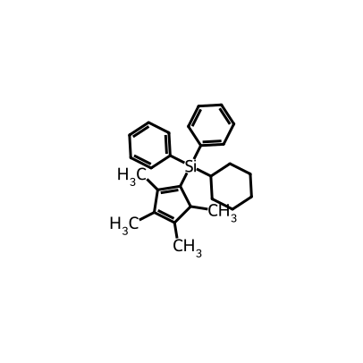 CC1=C(C)C(C)C([Si](c2ccccc2)(c2ccccc2)C2CCCCC2)=C1C